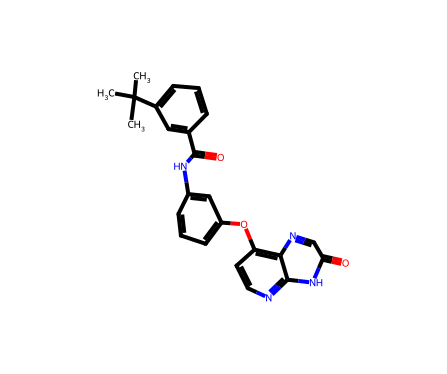 CC(C)(C)c1cccc(C(=O)Nc2cccc(Oc3ccnc4[nH]c(=O)cnc34)c2)c1